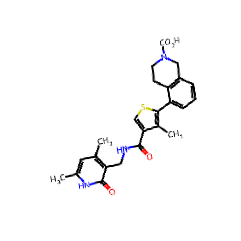 Cc1cc(C)c(CNC(=O)c2csc(-c3cccc4c3CCN(C(=O)O)C4)c2C)c(=O)[nH]1